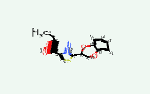 CCC(=O)c1csc(C2COc3ccccc3O2)n1